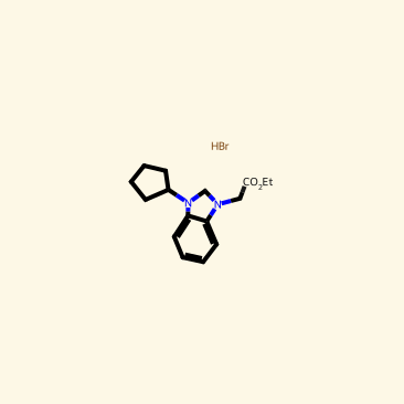 Br.CCOC(=O)CN1CN(C2CCCC2)c2ccccc21